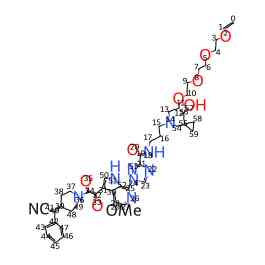 C=COCCOCCOCCOCCN(CCCNC(=O)c1ncn(-c2ncc(OC)c3c(C(=O)C(=O)N4CCC(=C(C#N)c5ccccc5)CC4)c[nH]c23)n1)CC1(CO)CC1